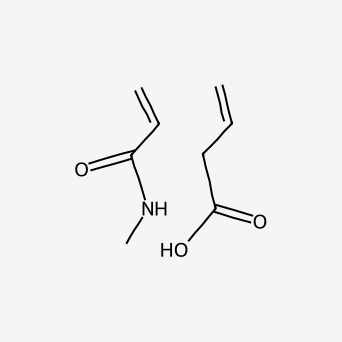 C=CC(=O)NC.C=CCC(=O)O